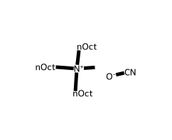 CCCCCCCC[N+](C)(CCCCCCCC)CCCCCCCC.N#C[O-]